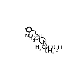 CC1(NCCc2ccccc2[N+](=O)[O-])CCN(CC(C)(C)C(=O)O)CC1